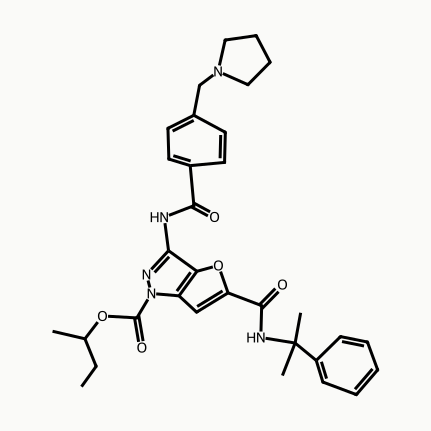 CCC(C)OC(=O)n1nc(NC(=O)c2ccc(CN3CCCC3)cc2)c2oc(C(=O)NC(C)(C)c3ccccc3)cc21